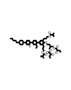 C=C(C)C(=O)OCCCc1cc(-c2ccc(-c3ccc(C4CCC(CCCCC)CC4)cc3F)cc2CC)cc(CCCOC(=O)C(=C)C)c1OCCC(COC(=O)C(=O)CC)COC(=O)C(=O)CC